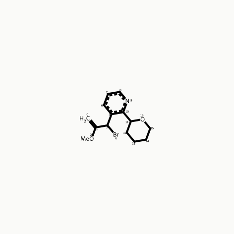 C=C(OC)C(Br)c1cccnc1C1CCCCO1